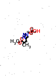 COC(=O)C(C)Cc1cn(COC(=O)O)nn1